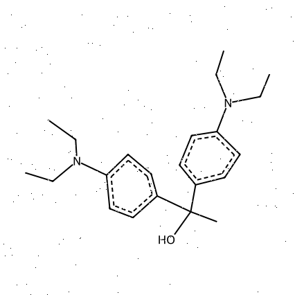 CCN(CC)c1ccc(C(C)(O)c2ccc(N(CC)CC)cc2)cc1